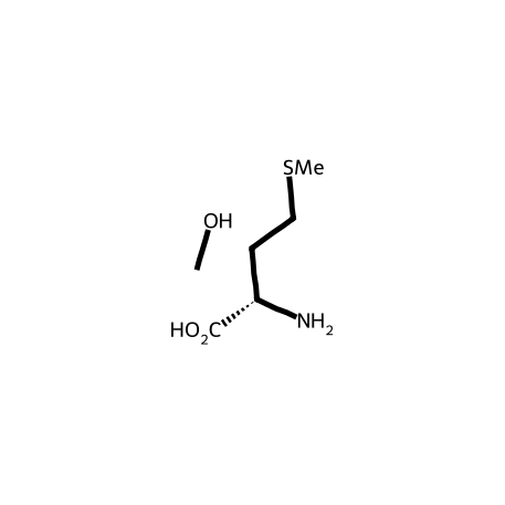 CO.CSCC[C@H](N)C(=O)O